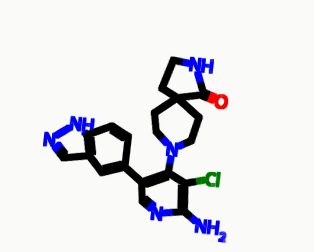 Nc1ncc(-c2ccc3[nH]ncc3c2)c(N2CCC3(CCNC3=O)CC2)c1Cl